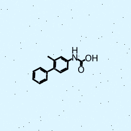 Cc1cc(NC(=O)O)ccc1-c1ccccc1